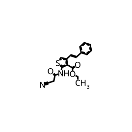 CCOC(=O)c1c(C=Cc2ccccc2)csc1NC(=O)CC#N